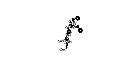 CCCCCCCCCCCCCC(=O)N[C@H]1CN(c2nc3ccc(C(=O)N4C[C@@H](C(=O)N[C@H]5C[C@@H]5c5ccccc5)[C@H](C(=O)N[C@H]5C[C@@H]5c5ccccc5)C4)cc3o2)C[C@@H]1OC